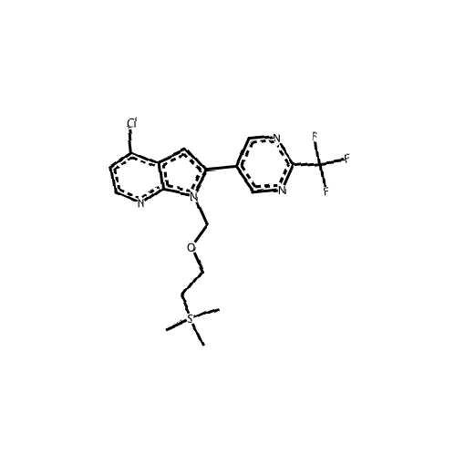 CS(C)(C)CCOCn1c(-c2cnc(C(F)(F)F)nc2)cc2c(Cl)ccnc21